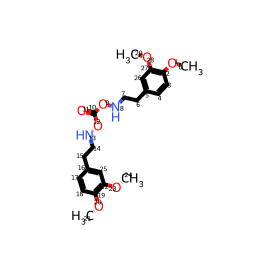 COc1ccc(CCNOC(=O)ONCCc2ccc(OC)c(OC)c2)cc1OC